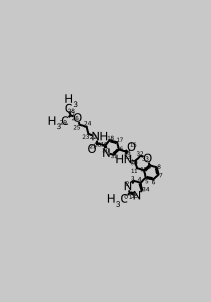 Cc1ncc(-c2cccc3c2C[C@H](NC(=O)c2ccc(C(=O)NCCCOC(C)C)nc2)CO3)cn1